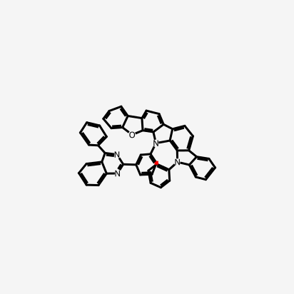 c1ccc(-c2nc(-c3cccc(-n4c5c(ccc6c7ccccc7oc65)c5ccc6c7ccccc7n(-c7ccccc7)c6c54)c3)nc3ccccc23)cc1